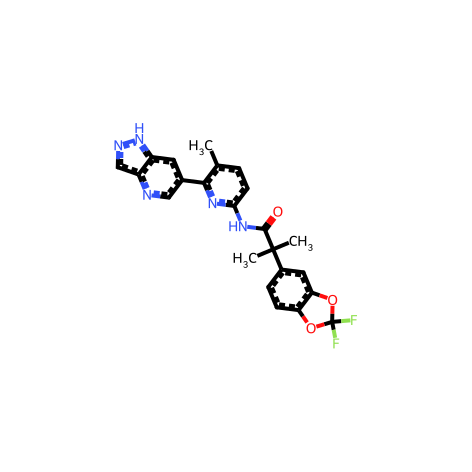 Cc1ccc(NC(=O)C(C)(C)c2ccc3c(c2)OC(F)(F)O3)nc1-c1cnc2cn[nH]c2c1